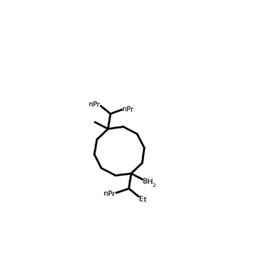 BC1(C(CC)CCC)CCCCC(C)(C(CCC)CCC)CCCC1